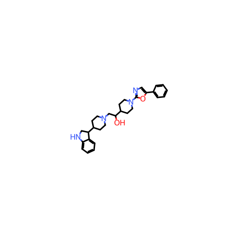 OC(CN1CCC(C2CNc3ccccc32)CC1)C1CCN(c2ncc(-c3ccccc3)o2)CC1